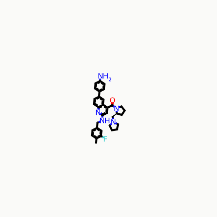 Cc1ccc(CNc2cc(C(=O)N3CCC[C@H]3CN3CCCC3)c3cc(-c4ccc(N)cc4)ccc3n2)cc1F